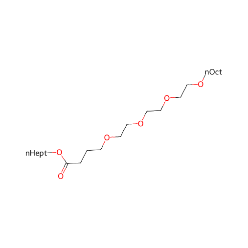 CCCCCCCCOCCOCCOCCOCCCC(=O)OCCCCCCC